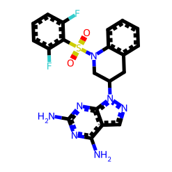 Nc1nc(N)c2cnn(C3Cc4ccccc4N(S(=O)(=O)c4c(F)cccc4F)C3)c2n1